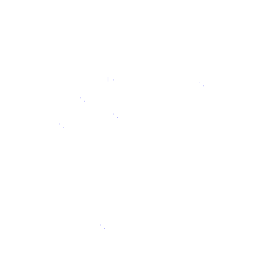 COc1cc(C(=O)N2CCC2)ccc1Nc1nc(OC2CCCC2)c2c(-c3ccc4nc(C)oc4c3)c[nH]c2n1